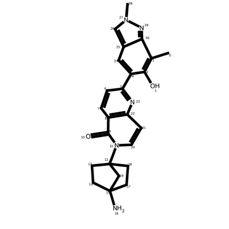 Cc1c(O)c(-c2ccc3c(=O)n(C45CCC(N)(CC4)C5)ccc3n2)cc2cn(C)nc12